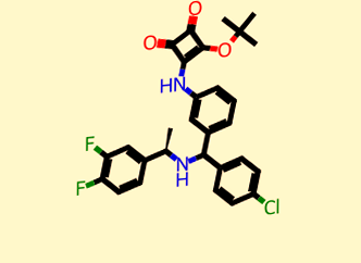 C[C@@H](NC(c1ccc(Cl)cc1)c1cccc(Nc2c(OC(C)(C)C)c(=O)c2=O)c1)c1ccc(F)c(F)c1